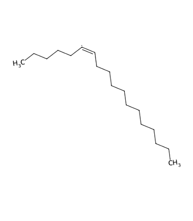 CCCCC/[C]=C\CCCCCCCCCCC